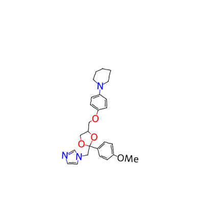 COc1ccc(C2(Cn3ccnc3)OCC(COc3ccc(N4CCCCC4)cc3)O2)cc1